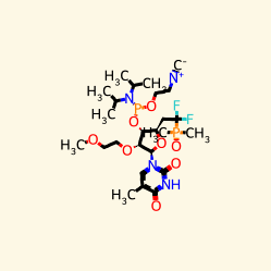 [C-]#[N+]CCOP(O[C@H]1[C@@H](OCCOC)[C@H](n2cc(C)c(=O)[nH]c2=O)O[C@@H]1CC(F)(F)P(C)(C)=O)N(C(C)C)C(C)C